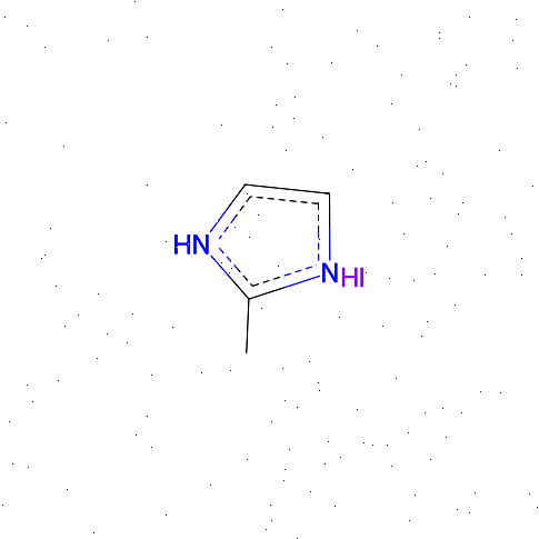 Cc1ncc[nH]1.I